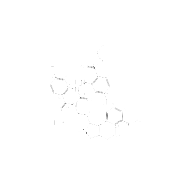 CCOC(=O)c1ccc(F)cc1Nn1c(=O)n(CCC2NCC3CCc4c(OC)cccc4C32)c(=O)c2ccc(F)cc21.Cl